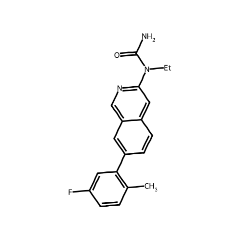 CCN(C(N)=O)c1cc2ccc(-c3cc(F)ccc3C)cc2cn1